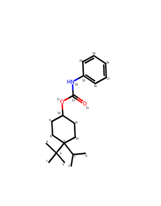 CC(C)C1(C(C)(C)C)CCC(OC(=O)Nc2ccccc2)CC1